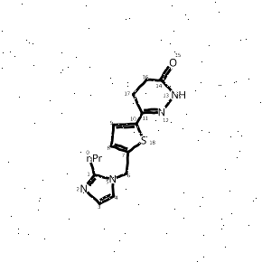 CCCc1nccn1Cc1ccc(C2=NNC(=O)CC2)s1